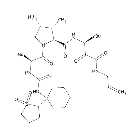 C=CCNC(=O)C(=O)[C@H](CCCC)NC(=O)[C@@H]1[C@@H](C)[C@@H](C)CN1C(=O)[C@@H](NC(=O)NC1([C@@H]2CCCS2(=O)=O)CCCCC1)C(C)(C)C